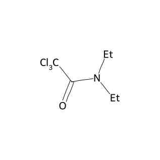 CCN(CC)C(=O)C(Cl)(Cl)Cl